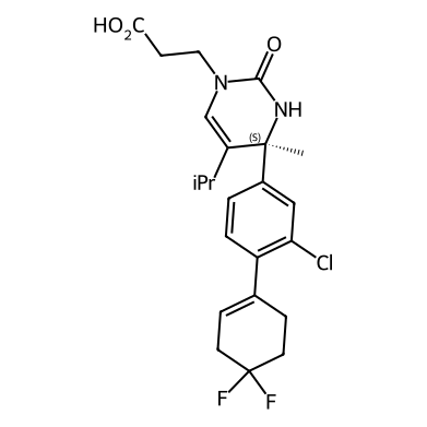 CC(C)C1=CN(CCC(=O)O)C(=O)N[C@@]1(C)c1ccc(C2=CCC(F)(F)CC2)c(Cl)c1